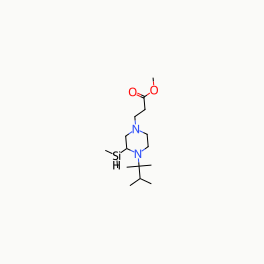 COC(=O)CCN1CCN(C(C)(C)C(C)C)C([SiH](C)C)C1